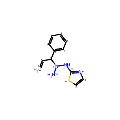 C=CC(c1ccccc1)N(N)Nc1nccs1